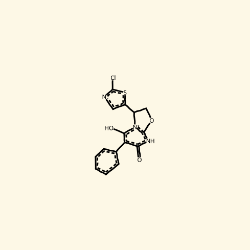 O=c1[nH]c2[n+](c(O)c1-c1ccccc1)C(c1cnc(Cl)s1)CO2